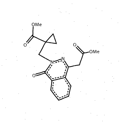 COC(=O)Cc1nn(CC2(C(=O)OC)CC2)c(=O)c2ccccc12